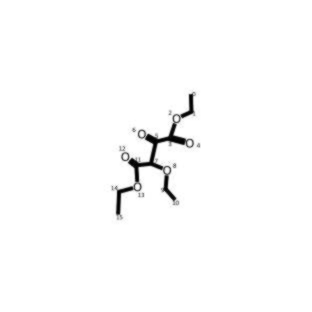 CCOC(=O)C(=O)C(OCC)C(=O)OCC